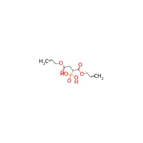 C=CCOC(=O)CC(C(=O)OCC=C)P(=O)(O)O